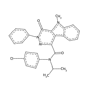 CC(C)N(C(=O)c1nn(-c2ccccc2)c(=O)c2c1c1ccccc1n2C)c1ccc(Cl)cc1